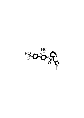 Cl.O=C(O)c1ccc(-c2ccc(-n3c(=O)n([C@H]4CCNC4)c4ncccc43)cc2O)cc1